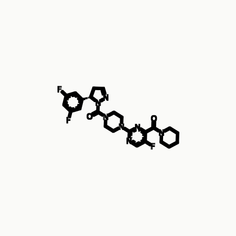 O=C(c1nc(N2CCN(C(=O)N3N=CC[C@H]3c3cc(F)cc(F)c3)CC2)ncc1F)N1CCCCC1